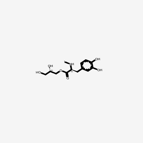 O=C(OC[C@@H](O)CO)[C@H](Cc1ccc(O)c(O)c1)NI